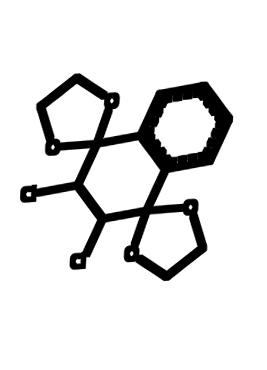 ClC1C(Cl)C2(OCCO2)c2ccccc2C12OCCO2